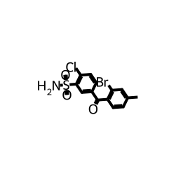 Cc1ccc(C(=O)c2ccc(Cl)c(S(N)(=O)=O)c2)c(Br)c1